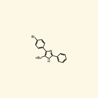 CCCCc1[nH]c(-c2ccccc2)nc1-c1ccc(Br)cc1